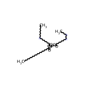 CCCC/C=C\C/C=C\CCCCCCCC(=O)OC[C@H](COC(=O)CCCCCCCCCCCCCCCCCCCCC)OC(=O)CCCCCCC/C=C\CCCCCCCCC